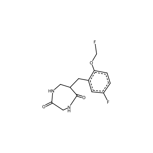 O=C1CNC(=O)C(Cc2cc(F)ccc2OCF)CN1